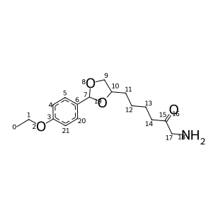 CCOc1ccc(C2OCC(CCCCC(=O)CN)O2)cc1